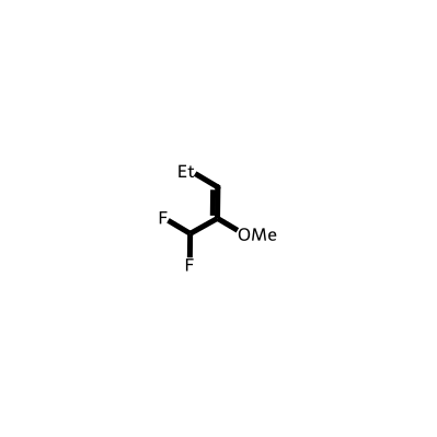 CC/C=C(/OC)C(F)F